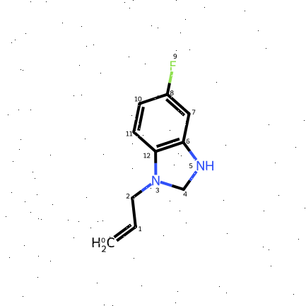 C=CCN1CNc2cc(F)ccc21